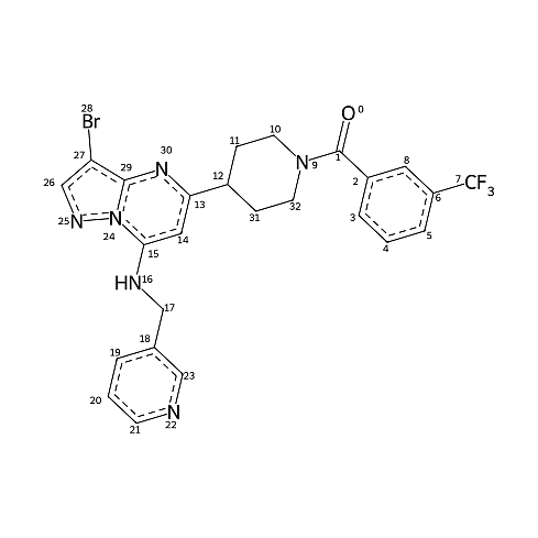 O=C(c1cccc(C(F)(F)F)c1)N1CCC(c2cc(NCc3cccnc3)n3ncc(Br)c3n2)CC1